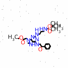 CCOC(=O)Cn1cnc2c(NCC(=O)c3ccccc3)nc(NCCCNC(=O)OC(C)(C)C)nc21